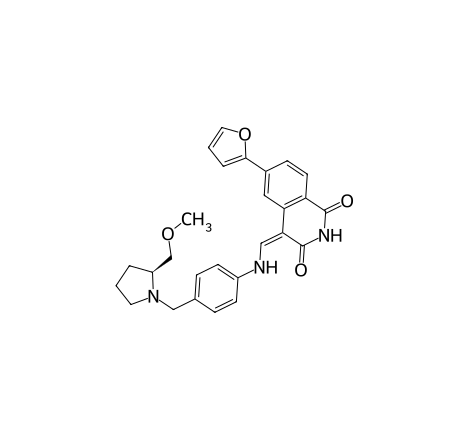 COC[C@@H]1CCCN1Cc1ccc(N/C=C2\C(=O)NC(=O)c3ccc(-c4ccco4)cc32)cc1